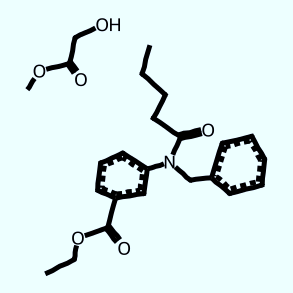 CCCCC(=O)N(Cc1ccccc1)c1cccc(C(=O)OCC)c1.COC(=O)CO